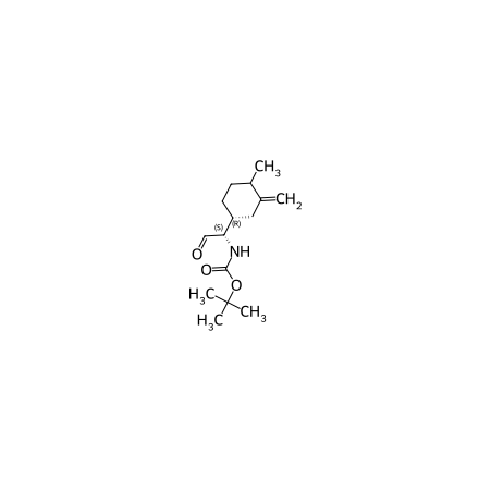 C=C1C[C@H]([C@@H](C=O)NC(=O)OC(C)(C)C)CCC1C